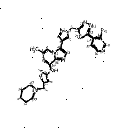 Cc1cn2c(-c3cnn(Cc4nnc(-c5ccncc5F)s4)c3)cnc2c(Nc2cc(CN3CCCCC3)ns2)n1